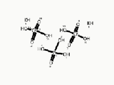 O=P(O)(O)O.[KH].[KH].[O]=[Cr](=[O])([OH])[OH].[O]=[Cr](=[O])([OH])[OH]